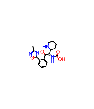 Cc1noc(-c2ccccc2C(=O)[C@@H](NC(=O)O)C2CCCCN2)n1